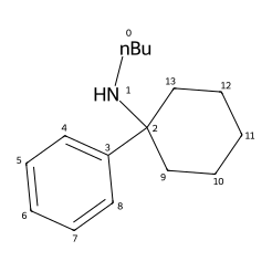 CCCCNC1(c2ccccc2)CCCCC1